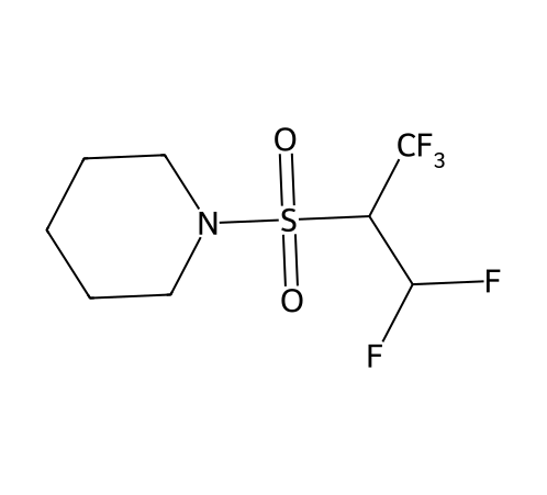 O=S(=O)(C(C(F)F)C(F)(F)F)N1CCCCC1